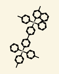 Cc1ccc([Si](c2ccccc2)(c2ccc(C)cc2)c2ccc(-c3ccc([Si](c4ccccc4)(c4ccc(C)cc4)c4ccc(C)c5ccccc45)cc3)cc2)cc1